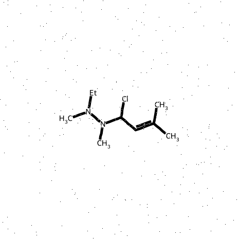 CCN(C)N(C)C(Cl)C=C(C)C